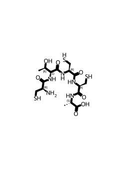 C[C@H](NC(=O)[C@H](CS)NC(=O)[C@H](CS)NC(=O)[C@@H](NC(=O)[C@@H](N)CS)[C@@H](C)O)C(=O)O